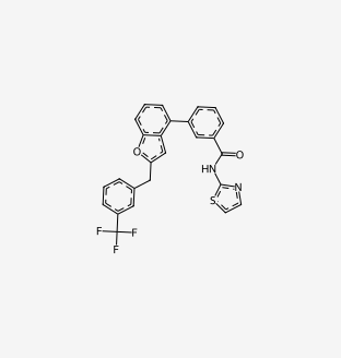 O=C(Nc1nccs1)c1cccc(-c2cccc3oc(Cc4cccc(C(F)(F)F)c4)cc23)c1